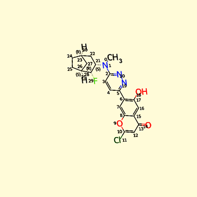 CN(c1ccc(-c2cc3oc(Cl)cc(=O)c3cc2O)nn1)[C@H]1C[C@@H]2CC[C@@H](C2)[C@H]1F